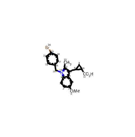 COc1ccc2c(c1)c(C1CC1C(=O)O)c(C)n2Cc1ccc(Br)cc1